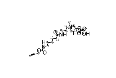 C#CCOC(=O)NCCCCCC(=O)NCCC[N+](C)(C)CCOP(=O)(O)O